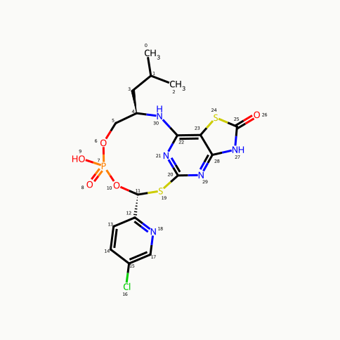 CC(C)C[C@@H]1COP(=O)(O)O[C@@H](c2ccc(Cl)cn2)Sc2nc(c3sc(=O)[nH]c3n2)N1